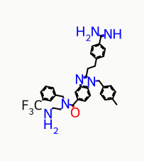 Cc1ccc(Cn2c(CCc3ccc(C(=N)N)cc3)nc3cc(C(=O)N(CCN)Cc4cccc(C(F)(F)F)c4)ccc32)cc1